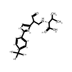 CC(C)[C@@H](NCC(C=O)c1csc(-c2ccc(C(F)(F)F)cc2)n1)C(=O)O